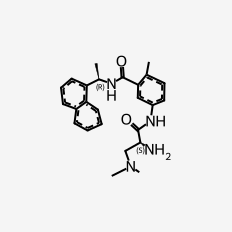 Cc1ccc(NC(=O)[C@@H](N)CN(C)C)cc1C(=O)N[C@H](C)c1cccc2ccccc12